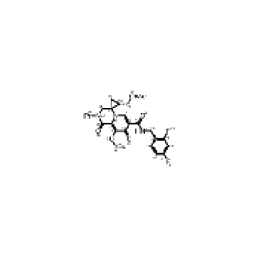 CCCCOc1c2n(cc(C(=O)NCc3ccc(F)cc3F)c1=O)[C@]1(C[C@@H]1COC)CN(C(C)C)C2=O